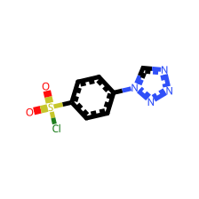 O=S(=O)(Cl)c1ccc(-n2cnnn2)cc1